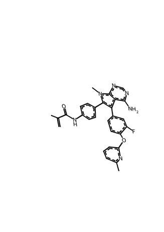 C=C(C)C(=O)Nc1ccc(-c2c(-c3ccc(Oc4cccc(C)n4)c(F)c3)c3c(N)ncnc3n2C)cc1